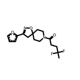 CC(F)(F)CCC(=O)N1CCC2(CC1)CC(c1ccco1)=NO2